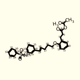 CC(C)OC(=O)CCc1ccccc1OCCCC=Cc1cccc(NS(=O)(=O)c2ccccc2)c1